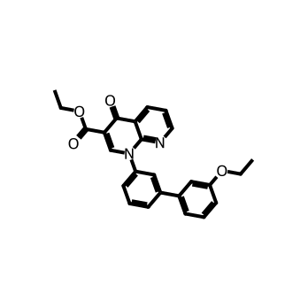 CCOC(=O)c1cn(-c2cccc(-c3cccc(OCC)c3)c2)c2ncccc2c1=O